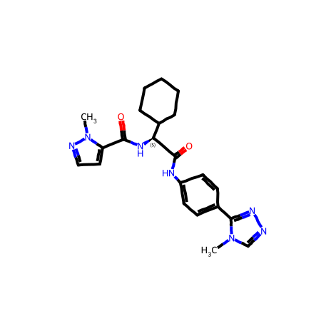 Cn1cnnc1-c1ccc(NC(=O)[C@@H](NC(=O)c2ccnn2C)C2CCCCC2)cc1